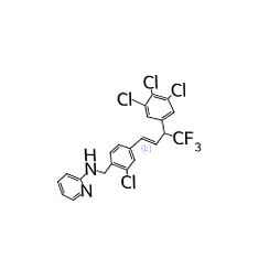 FC(F)(F)C(/C=C/c1ccc(CNc2ccccn2)c(Cl)c1)c1cc(Cl)c(Cl)c(Cl)c1